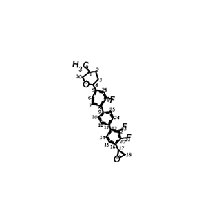 CC1CCC(c2ccc(-c3ccc(-c4ccc(C5CO5)c(F)c4F)cc3)c(F)c2)OC1